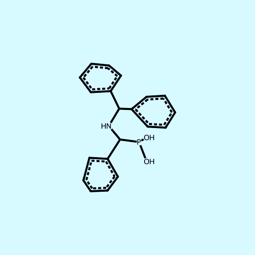 OP(O)C(NC(c1ccccc1)c1ccccc1)c1ccccc1